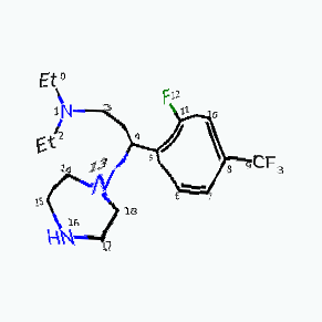 CCN(CC)CC(c1ccc(C(F)(F)F)cc1F)N1CCNCC1